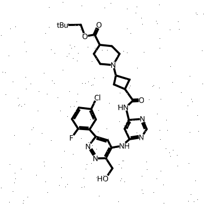 CC(C)(C)COC(=O)C1CCN(C2CC(C(=O)Nc3cc(Nc4cc(-c5cc(Cl)ccc5F)nnc4CO)ncn3)C2)CC1